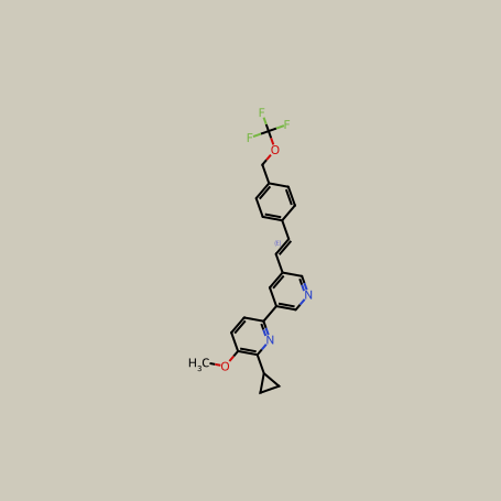 COc1ccc(-c2cncc(/C=C/c3ccc(COC(F)(F)F)cc3)c2)nc1C1CC1